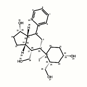 C[C@]1([C@H]2CC(c3ccccn3)[C@@H]3[C@@H](CC[C@@H]3O)[C@H]2CO)CC[C@H](O)C[C@@H]1CO